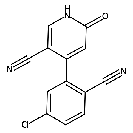 N#Cc1ccc(Cl)cc1-c1cc(=O)[nH]cc1C#N